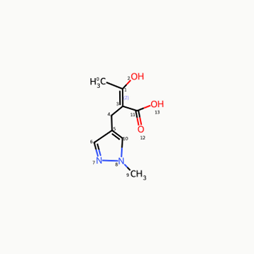 C/C(O)=C(\Cc1cnn(C)c1)C(=O)O